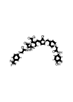 O=C(C[n+]1ccc(CN2CCC(=CC3=C(C(=O)[O-])N4C(=O)[C@@H](NC(=O)CSc5ccc(C(F)(F)F)cc5)[C@H]4SC3)C2=O)cc1)Nc1ccc(O)c(F)c1